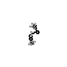 CCC(CCc1ccccc1CCC(=O)N1CCc2ccc(NS(=O)(=O)O)cc2C1)S(=O)(=O)O